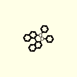 c1ccc(Oc2ccc3ccccc3c2-c2c(Oc3ccccc3)ccc3ccccc23)cc1